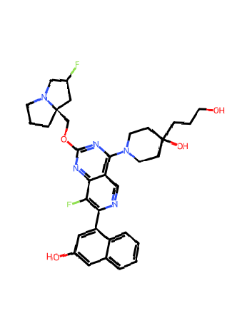 OCCCC1(O)CCN(c2nc(OC[C@@]34CCCN3CC(F)C4)nc3c(F)c(-c4cc(O)cc5ccccc45)ncc23)CC1